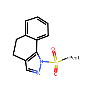 CCCCCS(=O)(=O)n1ncc2c1-c1ccccc1CC2